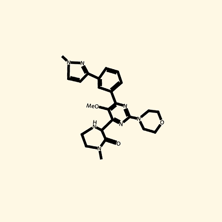 COc1c(-c2cccc(-c3ccn(C)n3)c2)nc(N2CCOCC2)nc1C1NCCN(C)C1=O